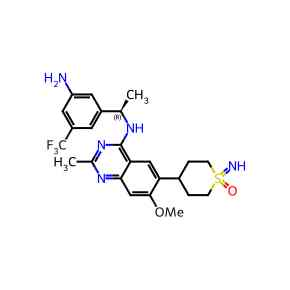 COc1cc2nc(C)nc(N[C@H](C)c3cc(N)cc(C(F)(F)F)c3)c2cc1C1CCS(=N)(=O)CC1